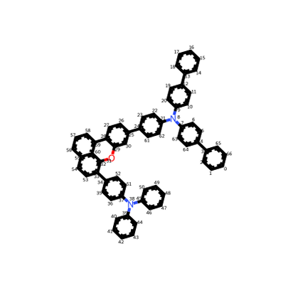 c1ccc(-c2ccc(N(c3ccc(-c4ccccc4)cc3)c3ccc(-c4ccc5c(c4)Oc4c(-c6ccc(N(c7ccccc7)c7ccccc7)cc6)ccc6cccc-5c46)cc3)cc2)cc1